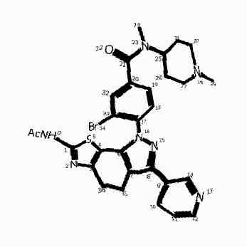 CC(=O)Nc1nc2c(s1)-c1c(c(-c3cccnc3)nn1-c1ccc(C(=O)N(C)C3CCN(C)CC3)cc1Br)CC2